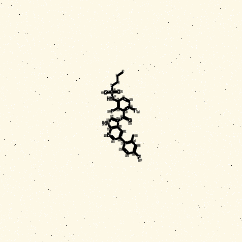 CCCCS(=O)(=O)Nc1ccc(F)c(C(=O)c2c[nH]c3ncc(-c4ccc(F)cc4C)cc23)c1F